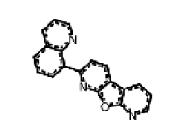 c1cnc2c(-c3ccc4c(n3)oc3ncccc34)cccc2c1